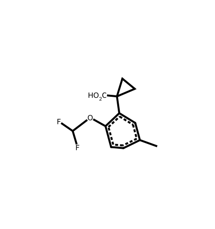 Cc1ccc(OC(F)F)c(C2(C(=O)O)CC2)c1